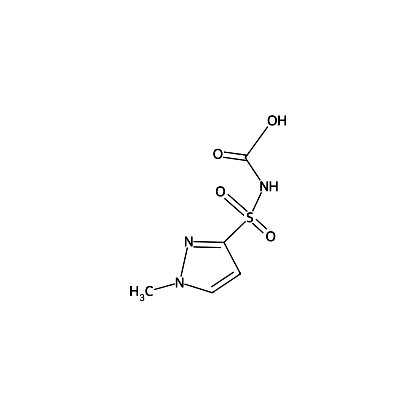 Cn1ccc(S(=O)(=O)NC(=O)O)n1